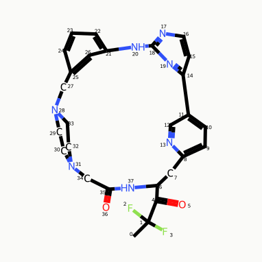 CC(F)(F)C(=O)C1Cc2ccc(cn2)-c2ccnc(n2)Nc2cccc(c2)CN2CCN(CC2)CC(=O)N1